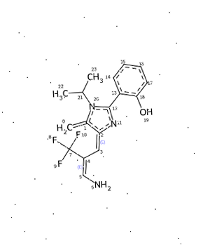 C=c1/c(=C\C(=C/N)C(F)(F)F)nc(-c2ccccc2O)n1C(C)C